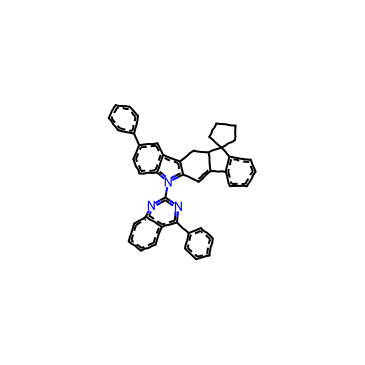 C1=C2c3ccccc3C3(CCCC3)C2Cc2c1n(-c1nc(-c3ccccc3)c3ccccc3n1)c1ccc(-c3ccccc3)cc21